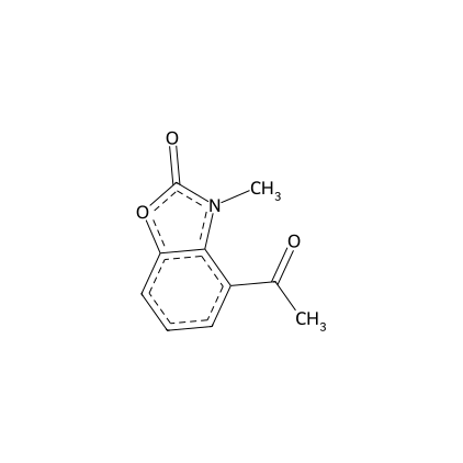 CC(=O)c1cccc2oc(=O)n(C)c12